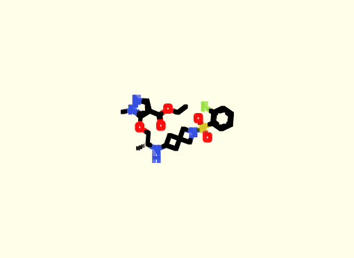 CCOC(=O)c1cnn(C)c1OC[C@@H](C)NC1CC2(C1)CN(S(=O)(=O)c1ccccc1F)C2